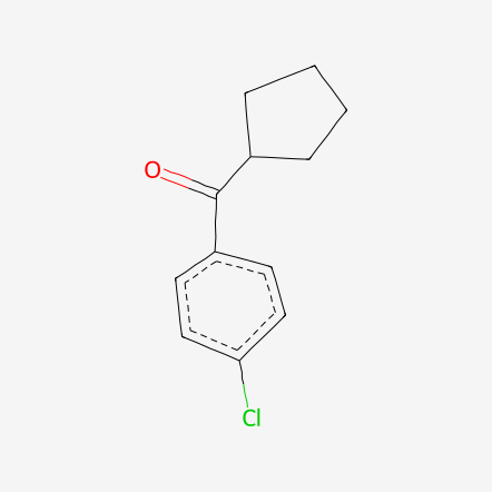 O=C(c1ccc(Cl)cc1)C1CCCC1